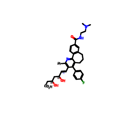 CC(C)c1nc2c(c(-c3ccc(F)cc3)c1/C=C/[C@@H](O)C[C@@H](O)CC(=O)O)CCCc1cc(C(=O)NCCN(C)C)ccc1-2